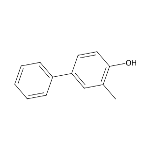 Cc1cc(-c2ccccc2)ccc1O